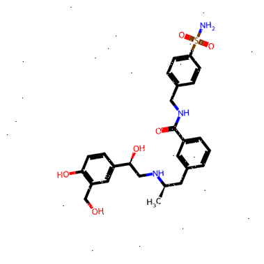 C[C@H](Cc1cccc(C(=O)NCc2ccc(S(N)(=O)=O)cc2)c1)NC[C@H](O)c1ccc(O)c(CO)c1